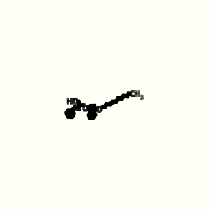 CCCCCCCCCCCCOc1ccc(OCC(CO)OCc2ccccc2)c2ccccc12